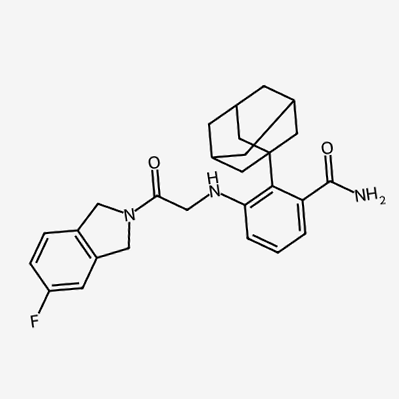 NC(=O)c1cccc(NCC(=O)N2Cc3ccc(F)cc3C2)c1C12CC3CC(CC(C3)C1)C2